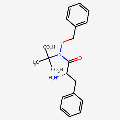 CC(C(=O)O)(C(=O)O)N(OCc1ccccc1)C(=O)[C@@H](N)Cc1ccccc1